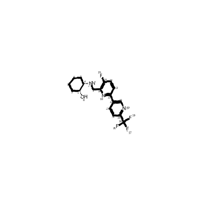 O[C@@H]1CCCC[C@@H]1NCc1nc(-c2ccc(C(F)(F)F)nc2)ccc1F